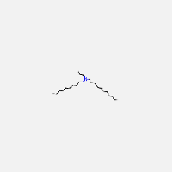 CCCCCCCCCCCN(CCC)CCCCCCCCCC